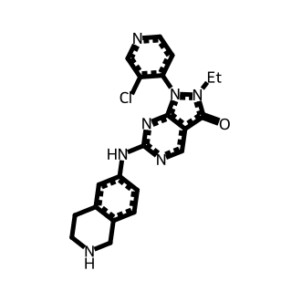 CCn1c(=O)c2cnc(Nc3ccc4c(c3)CCNC4)nc2n1-c1ccncc1Cl